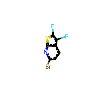 Fc1sc2nc(Br)ccc2c1F